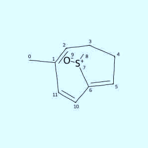 CC1=C/CC/C=C([S+](C)[O-])/C=C\1